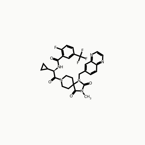 CN1C(=O)N(Cc2ccc3nccnc3c2)C2(CCN(C(=O)[C@H](NC(=O)c3cc(C(F)(F)F)ccc3F)C3CC3)CC2)C1=O